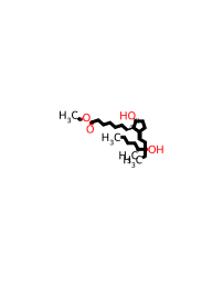 CCCCC(C)C(O)(CC)CC=C1CC[C@H](O)[C@@H]1CCCCCCC(=O)OCC